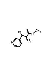 COC(=O)C(N)C(O)c1cccnc1